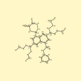 COCCN(CCOC)c1nc(N2CCN(C)C(=O)C2)c2nc(N(CCOC)CCOC)nc(N(C)Cc3ccccc3)c2n1